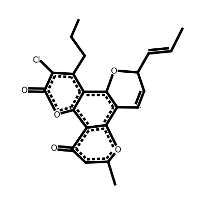 CC=CC1C=[C]c2c(c3c(CCC)c(Cl)c(=O)oc3c3c(=O)cc(C)oc23)O1